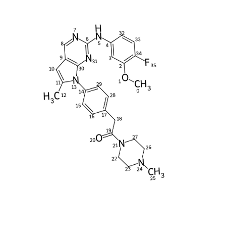 COc1cc(Nc2ncc3cc(C)n(-c4ccc(CC(=O)N5CCN(C)CC5)cc4)c3n2)ccc1F